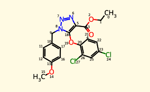 CCOC(=O)c1nnn(Cc2ccc(OC)cc2)c1Oc1ccc(Cl)cc1Cl